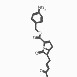 COC(=O)/C=C/CC1C(=O)N2C(C(=O)OCc3ccc([N+](=O)[O-])cc3)=CCC12